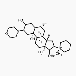 CC(=O)OC1C([N+]2(C)CCCCC2)C[C@H]2[C@@H]3CCC4CC(O)C(N5CCOCC5)C[C@]4(C)[C@@H]3CC[C@]12C.[Br-]